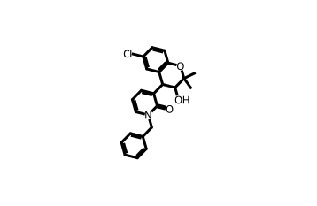 CC1(C)Oc2ccc(Cl)cc2C(c2cccn(Cc3ccccc3)c2=O)C1O